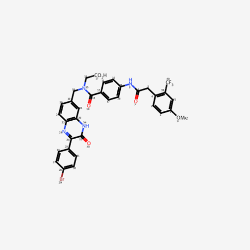 COc1ccc(CC(=O)Nc2ccc(C(=O)N(CC(=O)O)Cc3ccc4nc(-c5ccc(Br)cc5)c(=O)[nH]c4c3)cc2)c(C(F)(F)F)c1